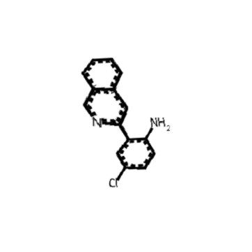 Nc1ccc(Cl)cc1-c1cc2ccccc2cn1